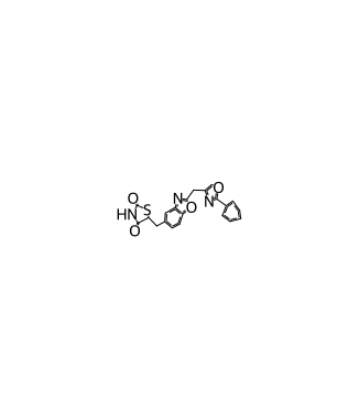 O=C1NC(=O)C(Cc2ccc3oc(Cc4coc(-c5ccccc5)n4)nc3c2)S1